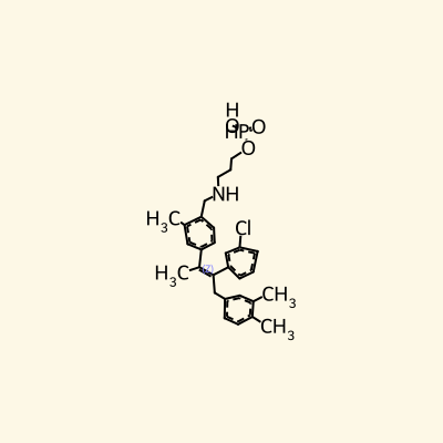 C/C(=C(\Cc1ccc(C)c(C)c1)c1cccc(Cl)c1)c1ccc(CNCCCO[PH](=O)O)c(C)c1